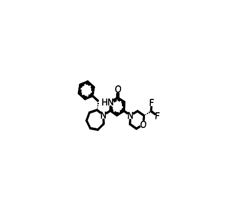 O=c1cc(N2CCO[C@@H](C(F)F)C2)cc(N2CCCCC[C@@H]2Cc2ccccc2)[nH]1